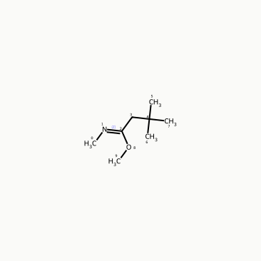 C/N=C(/CC(C)(C)C)OC